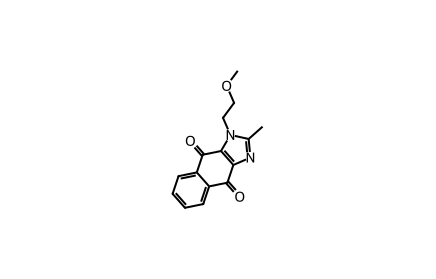 COCCn1c(C)nc2c1C(=O)c1ccccc1C2=O